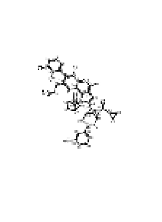 Cc1nc2c(F)c(-c3cccc(Cl)c3Cl)c(CCC#N)cc2c2c1cc(C1C3CC(CN(c4cccc(F)c4)C3)N1C(=O)C1CC1)n2C1C2CNC1C2